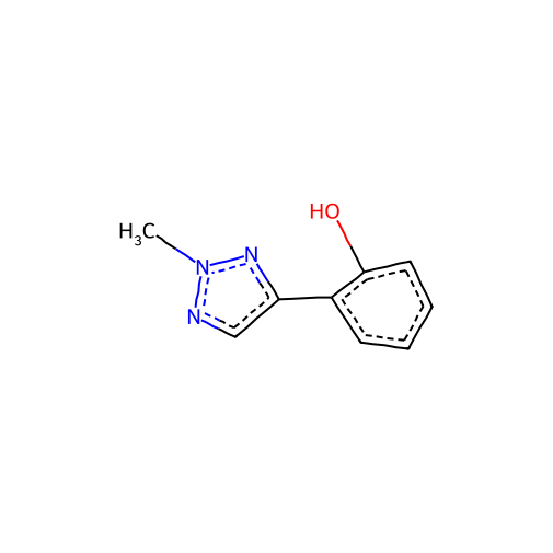 Cn1ncc(-c2ccccc2O)n1